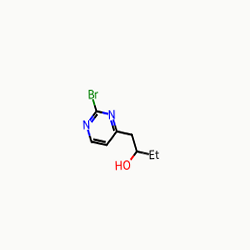 CCC(O)Cc1ccnc(Br)n1